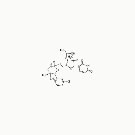 CC(O)O[C@@H]1[C@@H](COP2(=O)NCC(C)(C)C(c3cccc(Cl)c3)O2)O[C@@H](n2ccc(=O)[nH]c2=O)[C@]1(C)F